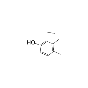 CC.Cc1ccc(O)cc1C